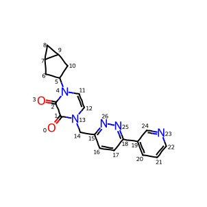 O=c1c(=O)n(C2CC3CC3C2)ccn1Cc1ccc(-c2cccnc2)nn1